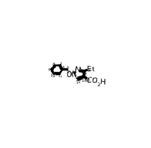 CCc1nn(OCc2ccccc2)cc1C(=O)O